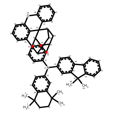 CC1(C)CCC(C)(C)c2cc(N(c3ccc(-c4cccc5c4C4(c6ccccc6O5)C5CC6CC(C5)CC4C6)cc3)c3ccc4c(c3)C(C)(C)c3ccccc3-4)ccc21